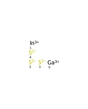 [Ga+3].[In+3].[S-2].[S-2].[S-2]